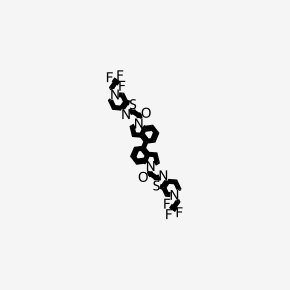 O=C(c1nc2c(s1)CN(CC(F)(F)F)CC2)N1CCc2c(-c3cccc4c3CCN4C(=O)c3nc4c(s3)CN(CC(F)(F)F)CC4)cccc21